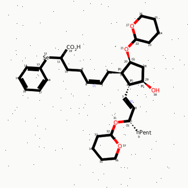 CCCCC[C@@H](/C=C/[C@@H]1[C@@H](C/C=C\CCC([Se]c2ccccc2)C(=O)O)[C@@H](OC2CCCCO2)C[C@H]1O)OC1CCCCO1